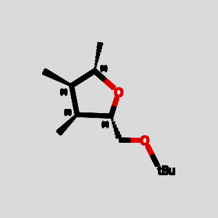 C[C@@H]1[C@H](C)[C@@H](COC(C)(C)C)O[C@H]1C